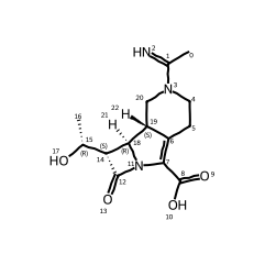 CC(=N)N1CCC2=C(C(=O)O)N3C(=O)[C@H]([C@@H](C)O)[C@H]3[C@@H]2C1